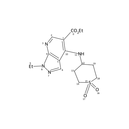 CCOC(=O)c1cnc2c(cnn2CC)c1NC1CCS(=O)(=O)CC1